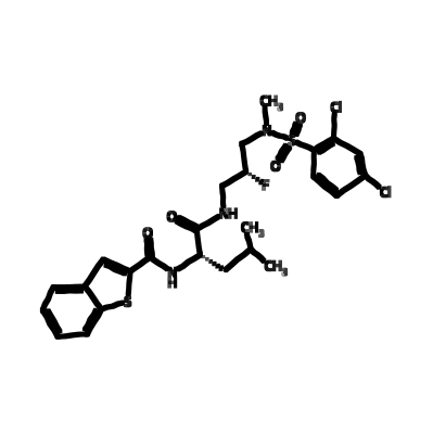 CC(C)C[C@H](NC(=O)c1cc2ccccc2s1)C(=O)NC[C@@H](F)CN(C)S(=O)(=O)c1ccc(Cl)cc1Cl